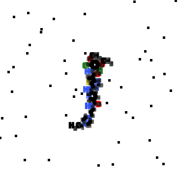 CCN1CCN(CCCNC(=O)c2ccc(Nc3ncnc4c(C(=O)Nc5c(Cl)c(OC)cc(OC)c5Cl)csc34)nc2)CC1